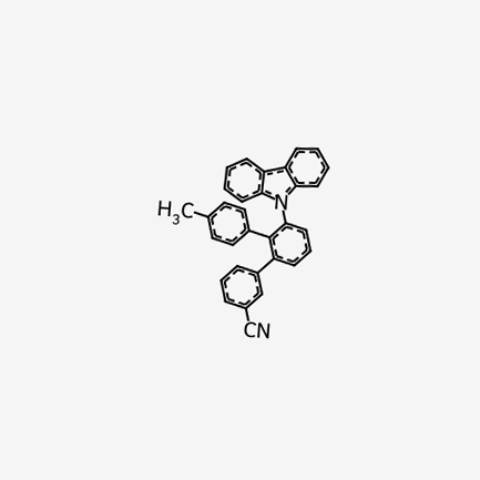 Cc1ccc(-c2c(-c3cccc(C#N)c3)cccc2-n2c3ccccc3c3ccccc32)cc1